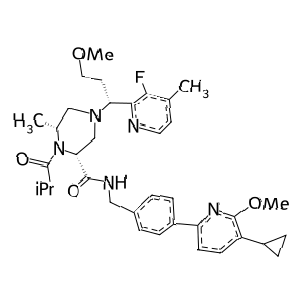 COCC[C@H](c1nccc(C)c1F)N1C[C@@H](C)N(C(=O)C(C)C)[C@@H](C(=O)NCc2ccc(-c3ccc(C4CC4)c(OC)n3)cc2)C1